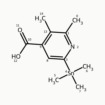 Cc1n[c]([Sn]([CH3])([CH3])[CH3])cc(C(=O)O)c1C